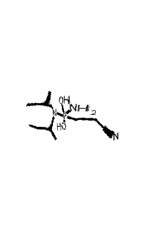 CC(C)N(C(C)C)P(N)(O)(O)CCC#N